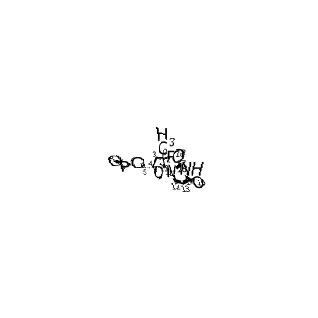 C[C@@]1(F)C[C@@H](COP=O)O[C@H]1n1ccc(=O)[nH]c1=O